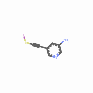 Nc1cncc(C#CSI)c1